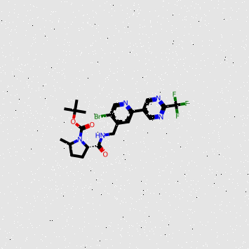 CC1CC[C@@H](C(=O)NCc2cc(-c3cnc(C(F)(F)F)nc3)ncc2Br)N1C(=O)OC(C)(C)C